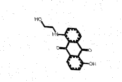 O=C1c2cccc(NCCO)c2C(=O)c2cccc(O)c21